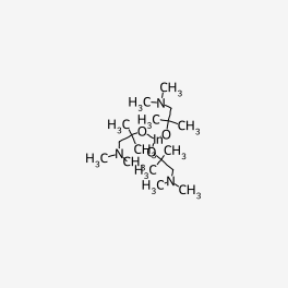 CN(C)CC(C)(C)[O][In]([O]C(C)(C)CN(C)C)[O]C(C)(C)CN(C)C